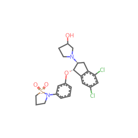 O=S1(=O)CCCN1c1cccc(O[C@H]2c3cc(Cl)cc(Cl)c3C[C@@H]2N2CCC(O)C2)c1